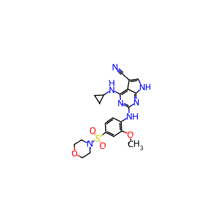 COc1cc(S(=O)(=O)N2CCOCC2)ccc1Nc1nc(NC2CC2)c2c(C#N)c[nH]c2n1